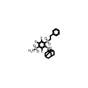 NS(=O)(=O)c1c(F)c(F)c(S(=O)(=O)CCc2ccccc2)c(NC23CC4CC(CC(C4)C2)C3)c1F